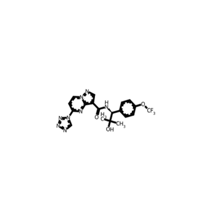 CC(C)(O)[C@@H](NC(=O)c1cnn2ccc(-n3cnnn3)nc12)c1ccc(OC(F)(F)F)cc1